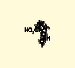 Cc1sc2c(c1C)C(c1ccc(Nc3cccc(F)c3)cc1)=NC([C@H](C)C(=O)O)c1nnc(C)n1-2